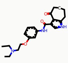 CCN(CC)CCOc1cccc(NC(=O)c2c[nH]c3c2C(=O)CCCC3)c1